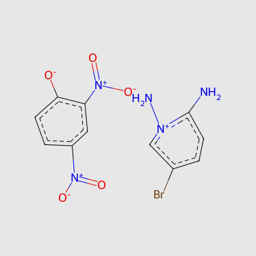 Nc1ccc(Br)c[n+]1N.O=[N+]([O-])c1ccc([O-])c([N+](=O)[O-])c1